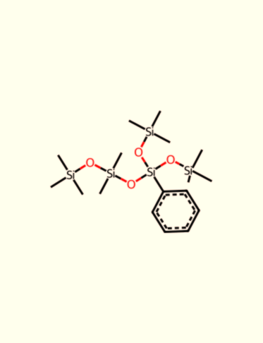 C[Si](C)(C)O[Si](C)(C)O[Si](O[Si](C)(C)C)(O[Si](C)(C)C)c1ccccc1